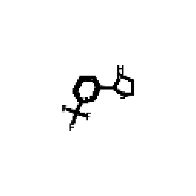 FC(F)(F)c1cccc(C2NCCS2)c1